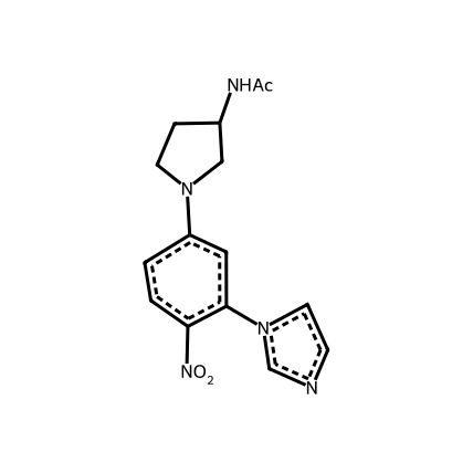 CC(=O)NC1CCN(c2ccc([N+](=O)[O-])c(-n3ccnc3)c2)C1